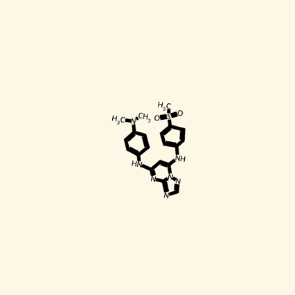 CN(C)c1ccc(Nc2cc(Nc3ccc(S(C)(=O)=O)cc3)n3ncnc3n2)cc1